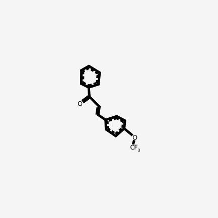 O=C(/C=C/c1ccc(OC(F)(F)F)cc1)c1ccccc1